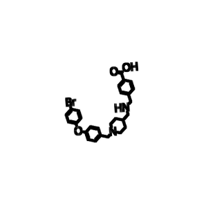 O=C(O)c1ccc(CNCC2CCN(Cc3ccc(Oc4ccc(Br)cc4)cc3)CC2)cc1